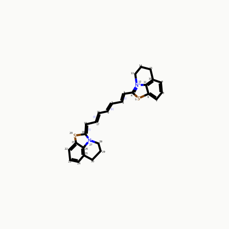 C(=C\C=C\c1sc2cccc3c2[n+]1CCC3)/C=C/C=C1/Sc2cccc3c2N1CCC3